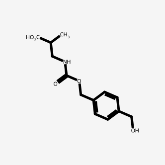 CC(CNC(=O)OCc1ccc(CO)cc1)C(=O)O